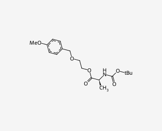 COc1ccc(COCCOC(=O)[C@H](C)NC(=O)OC(C)(C)C)cc1